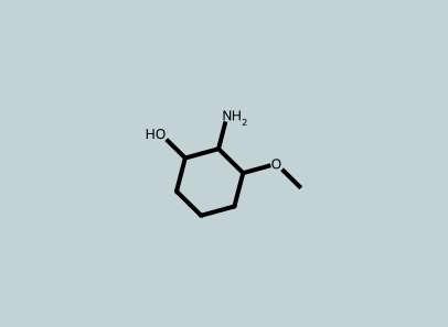 COC1CCCC(O)C1N